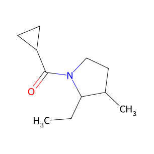 CCC1C(C)CCN1C(=O)C1CC1